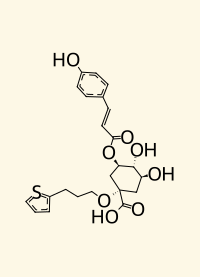 O=C(/C=C/c1ccc(O)cc1)O[C@@H]1C[C@](OCCCc2cccs2)(C(=O)O)C[C@H](O)[C@H]1O